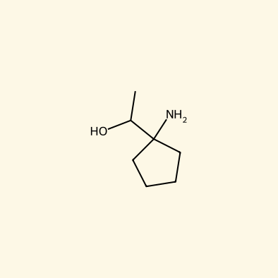 CC(O)C1(N)CCCC1